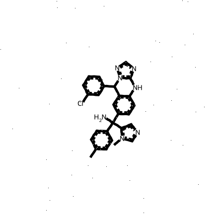 Cc1ccc(C(N)(c2ccc3c(c2)C(c2cccc(Cl)c2)n2ncnc2N3)c2cncn2C)cc1